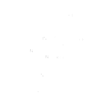 CC(O)(CC(=O)Nc1nc2ccc(C(F)(F)F)nc2n1C(C)(C)C)CC(F)(F)F